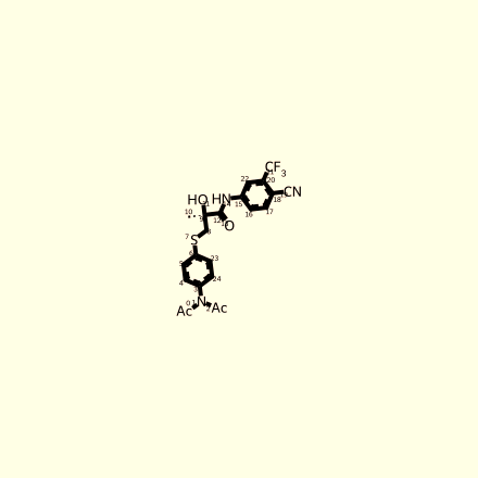 CC(=O)N(C(C)=O)c1ccc(SC[C@@](C)(O)C(=O)Nc2ccc(C#N)c(C(F)(F)F)c2)cc1